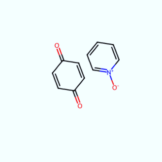 O=C1C=CC(=O)C=C1.[O-][n+]1ccccc1